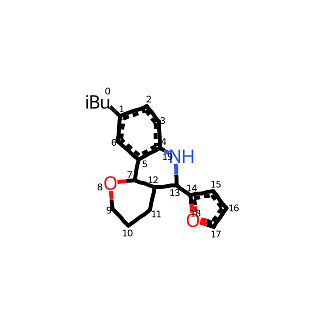 CCC(C)c1ccc2c(c1)C1OCCCC1C(c1ccco1)N2